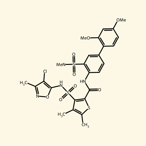 CNS(=O)(=O)c1cc(-c2ccc(OC)cc2OC)ccc1NC(=O)c1sc(C)c(C)c1S(=O)(=O)Nc1onc(C)c1Cl